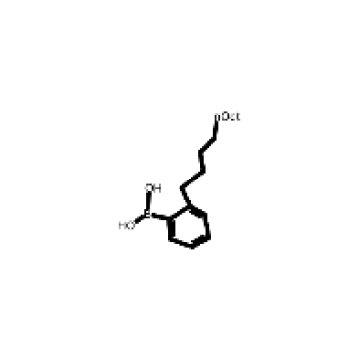 CCCCCCCCCCCCc1ccccc1B(O)O